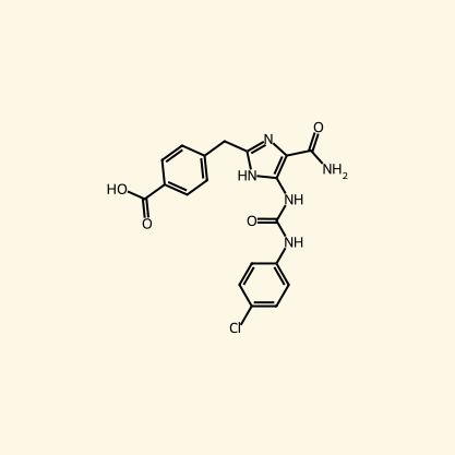 NC(=O)c1nc(Cc2ccc(C(=O)O)cc2)[nH]c1NC(=O)Nc1ccc(Cl)cc1